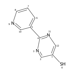 Sc1cnc(-c2cccnc2)nc1